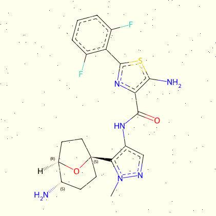 Cn1ncc(NC(=O)c2nc(-c3c(F)cccc3F)sc2N)c1[C@]12CC[C@H](N)[C@@H](CC1)O2